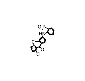 O=C(c1ccc(Nc2ccccc2[N+](=O)[O-])cc1Cl)c1sccc1Cl